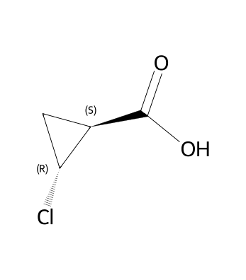 O=C(O)[C@@H]1C[C@H]1Cl